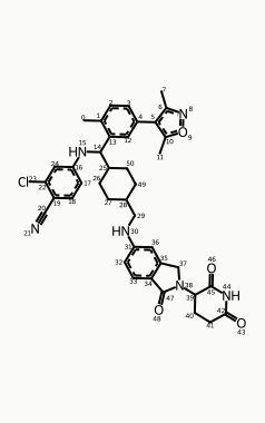 Cc1ccc(-c2c(C)noc2C)cc1C(Nc1ccc(C#N)c(Cl)c1)C1CCC(CNc2ccc3c(c2)CN(C2CCC(=O)NC2=O)C3=O)CC1